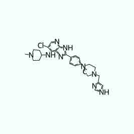 CN1CCC(Nc2c(Cl)cnc3[nH]c(-c4ccc(N5CCN(Cc6c[nH]cn6)CC5)cc4)nc23)CC1